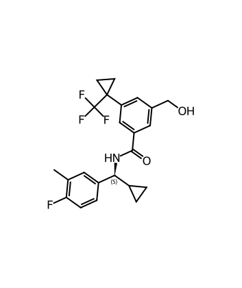 Cc1cc([C@@H](NC(=O)c2cc(CO)cc(C3(C(F)(F)F)CC3)c2)C2CC2)ccc1F